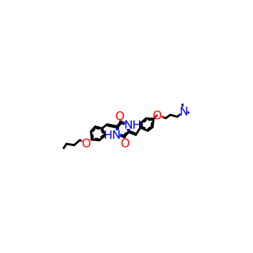 CCCCOc1ccc(C=c2[nH]c(=O)c(=Cc3ccc(OCCCN(C)C)cc3)[nH]c2=O)cc1